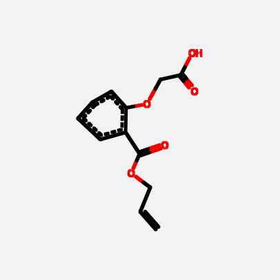 C=CCOC(=O)c1ccccc1OCC(=O)O